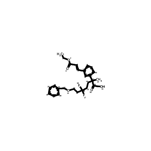 CCOC(=O)/C=C/c1cccc(C(C)(CCC(F)(F)CCOCc2ccccc2)C(=O)O)c1